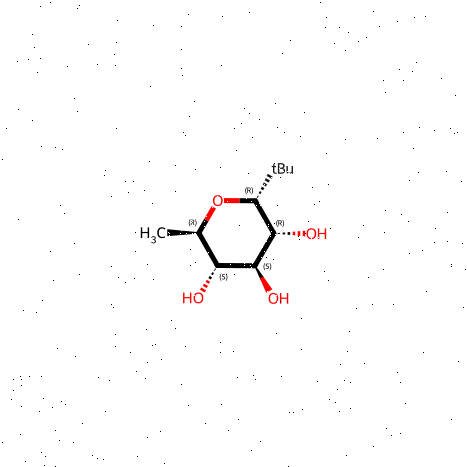 C[C@H]1O[C@H](C(C)(C)C)[C@H](O)[C@@H](O)[C@@H]1O